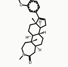 COc1cccc(C2=CC[C@H]3[C@@H]4CC[C@H]5CC(=O)N(C)CC[C@]5(C)[C@H]4CC[C@]23C)c1